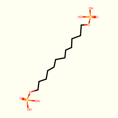 O=P(O)(O)OCCCCCCCCCCCCOP(=O)(O)O